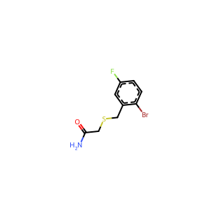 NC(=O)CSCc1cc(F)ccc1Br